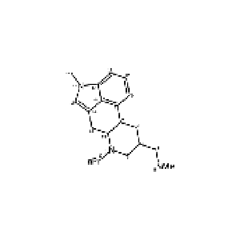 CCCN1CC(CSC)CC2c3cccc4c3c(cn4C)CC21